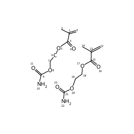 C=C(C)C(=O)OCCOC(N)=O.C=C(C)C(=O)OCCOC(N)=O